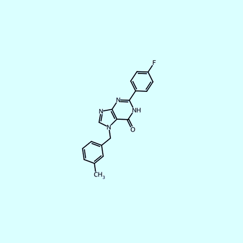 Cc1cccc(Cn2cnc3nc(-c4ccc(F)cc4)[nH]c(=O)c32)c1